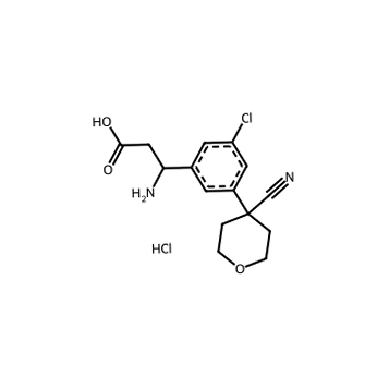 Cl.N#CC1(c2cc(Cl)cc(C(N)CC(=O)O)c2)CCOCC1